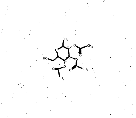 CC(=O)O[C@H]1[C@H](OC(C)=O)C(CO)OC(C)[C@@H]1OC(C)=O